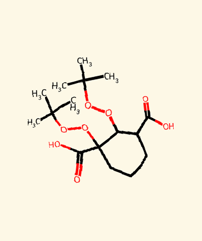 CC(C)(C)OOC1C(C(=O)O)CCCC1(OOC(C)(C)C)C(=O)O